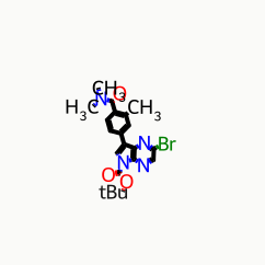 Cc1cc(-c2cn(C(=O)OC(C)(C)C)c3ncc(Br)nc23)ccc1C(=O)N(C)C